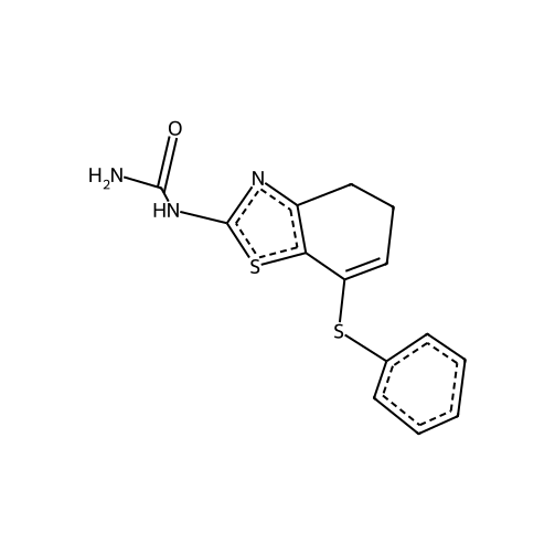 NC(=O)Nc1nc2c(s1)C(Sc1ccccc1)=CCC2